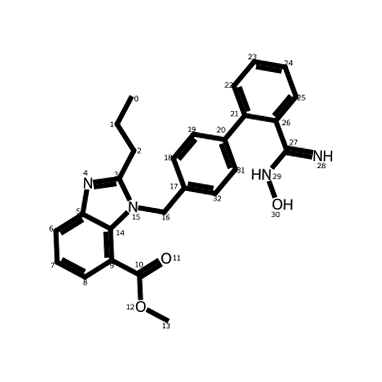 CCCc1nc2cccc(C(=O)OC)c2n1Cc1ccc(-c2ccccc2C(=N)NO)cc1